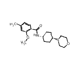 COc1cc(C)ccc1C(=O)N[C@H]1CC[C@H](N2CCOCC2)CC1